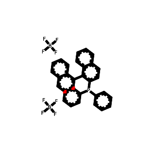 F[B-](F)(F)F.F[B-](F)(F)F.c1ccc(P(c2ccccc2)c2ccc3ccccc3c2-c2cccc3ccccc23)cc1